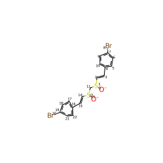 [O-][S+](C=Cc1ccc(Br)cc1)C[S+]([O-])C=Cc1ccc(Br)cc1